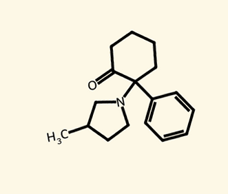 CC1CCN(C2(c3ccccc3)CCCCC2=O)C1